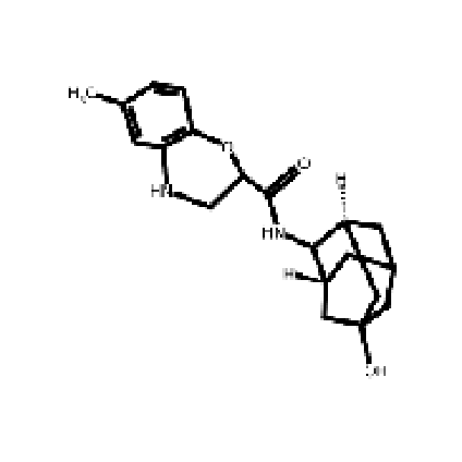 Cc1ccc2c(c1)NCC(C(=O)NC1[C@@H]3CC4C[C@H]1CC(O)(C4)C3)O2